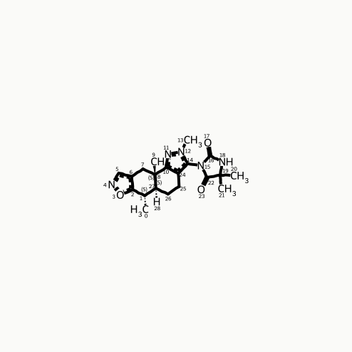 C[C@@H]1c2oncc2C[C@]2(C)c3nn(C)c(N4C(=O)NC(C)(C)C4=O)c3CC[C@@H]12